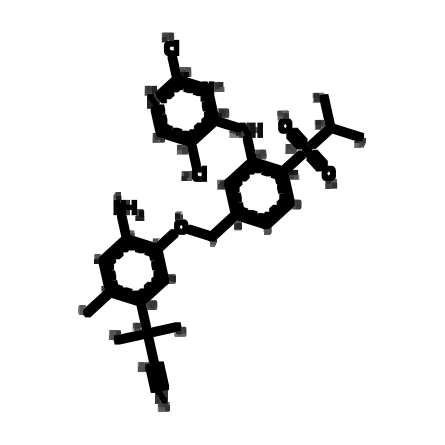 Cc1cc(N)c(OCc2ccc(S(=O)(=O)C(C)C)c(Nc3nc(Cl)ncc3Cl)c2)cc1C(C)(C)C#N